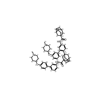 CN1CCC(Oc2ccc(-c3cccc(NC(=O)C45CC6CC(c7ccc(NC(=O)C89CC%10CC(C8)C(C%10)C9)cc7-c7cccc(OC8CCN(C)CC8)c7)(CC6C4)C5)c3)cc2)CC1